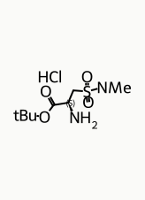 CNS(=O)(=O)C[C@@H](N)C(=O)OC(C)(C)C.Cl